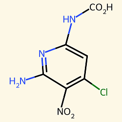 Nc1nc(NC(=O)O)cc(Cl)c1[N+](=O)[O-]